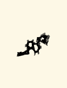 COc1cccc2c1CCSC2C1=NCCN1